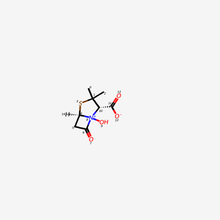 CC1(C)S[C@@H]2CC(=O)[N+]2(O)[C@H]1C(=O)[O-]